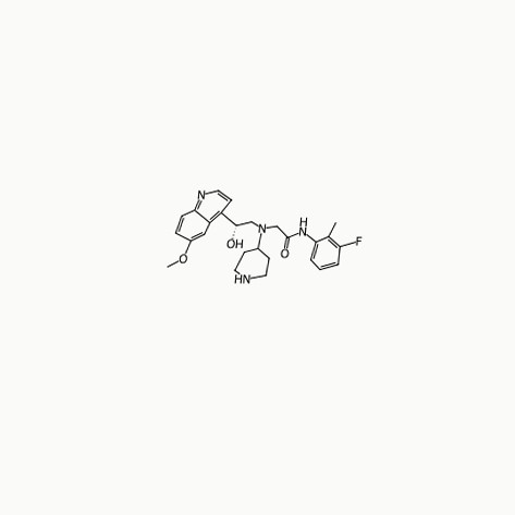 COc1ccc2nccc([C@@H](O)CN(CC(=O)Nc3cccc(F)c3C)C3CCNCC3)c2c1